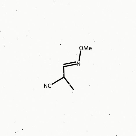 CON=CC(C)C#N